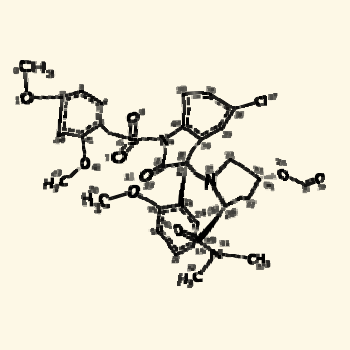 COc1ccc(S(=O)(=O)N2C(=O)[C@@](c3ccccc3OC)(N3C[C@H](OC=O)C[C@H]3C(=O)N(C)C)c3cc(Cl)ccc32)c(OC)c1